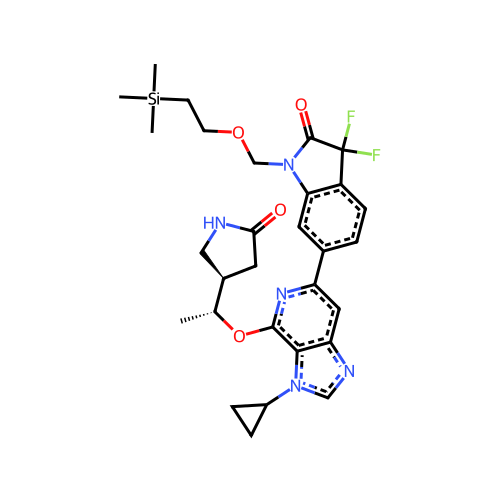 C[C@@H](Oc1nc(-c2ccc3c(c2)N(COCC[Si](C)(C)C)C(=O)C3(F)F)cc2ncn(C3CC3)c12)[C@H]1CNC(=O)C1